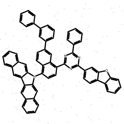 c1ccc(-c2cccc(-c3ccc4c(-n5c6cc7ccccc7cc6c6cc7ccccc7cc65)ccc(-c5nc(-c6ccccc6)nc(-c6ccc7c(c6)oc6ccccc67)n5)c4c3)c2)cc1